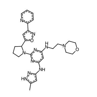 Cc1cc(Nc2cc(NCCN3CCOCC3)nc(N3CCCC3c3cc(-c4ccccn4)no3)n2)n[nH]1